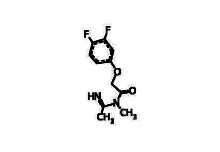 CC(=N)N(C)C(=O)COc1ccc(F)c(F)c1